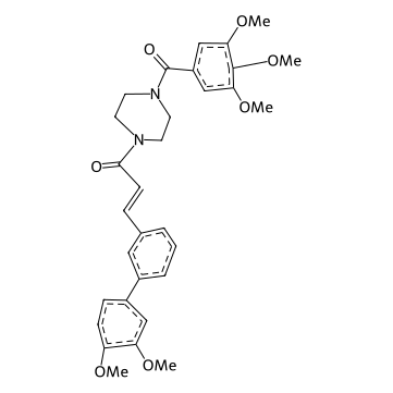 COc1ccc(-c2cccc(/C=C/C(=O)N3CCN(C(=O)c4cc(OC)c(OC)c(OC)c4)CC3)c2)cc1OC